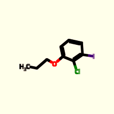 CCCOc1cccc(I)c1Cl